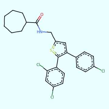 O=C(NCc1cc(-c2ccc(Cl)cc2)c(-c2ccc(Cl)cc2Cl)s1)C1CCCCCC1